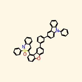 O=S1(c2ccccc2)=Nc2ccccc2C=C1c1cccc2oc3ccc(-c4cccc(-c5ccc6c(c5)c5ccccc5n6-c5ccccc5)c4)cc3c12